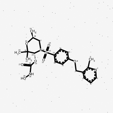 Cc1ncccc1COc1ccc(S(=O)(=O)N2C[C@H](C)OC(C)(C)[C@H]2OC(=O)NO)cc1